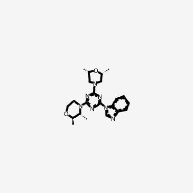 C[C@@H]1CN(c2nc(N3CCO[C@H](C)[C@H]3C)nc(-n3cnc4ccccc43)n2)C[C@H](C)O1